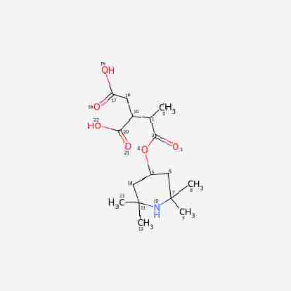 CC(C(=O)OC1CC(C)(C)NC(C)(C)C1)C(CC(=O)O)C(=O)O